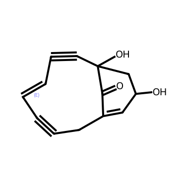 O=C1C2=CC(O)CC1(O)C#C/C=C/C#CC2